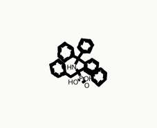 O=P(O)(O)C(Cc1ccccc1)(Cc1ccccc1)NC(c1ccccc1)(c1ccccc1)c1ccccc1